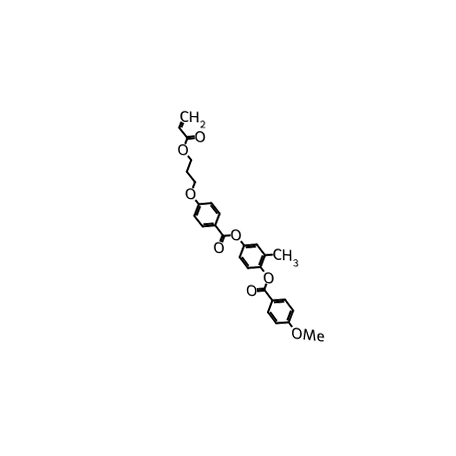 C=CC(=O)OCCCOc1ccc(C(=O)Oc2ccc(OC(=O)c3ccc(OC)cc3)c(C)c2)cc1